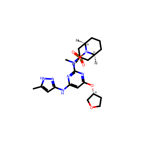 CCS(=O)(=O)N1[C@@H]2CCC[C@H]1CC(N(C)c1nc(Nc3cc(C)[nH]n3)cc(O[C@@H]3CCOC3)n1)C2